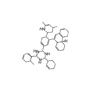 CC1=CC(C)CC(C2CC=C(C3NC(C4=CC=CCC4C)NC(C4C=CCCC4)N3)C=C2C2=CC3=C(CCC=C3)[C@@H]3CCC=CC23)N1